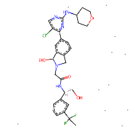 CC(F)(F)c1cccc([C@@H](CO)NC(=O)CN2Cc3ccc(-c4nc(NC5CCOCC5)ncc4Cl)cc3C2O)c1